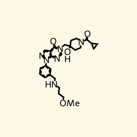 COCCCNCc1cccc(-n2ncc3c(=O)n(CC4(O)CCN(C(=O)C5CC5)CC4)cnc32)c1